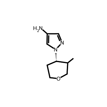 CC1COCC[C@@H]1n1cc(N)cn1